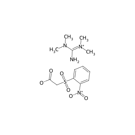 CN(C)C(N)=[N+](C)C.O=C([O-])CS(=O)(=O)c1ccccc1[N+](=O)[O-]